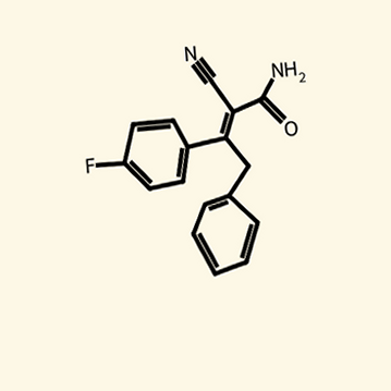 N#CC(C(N)=O)=C(Cc1ccccc1)c1ccc(F)cc1